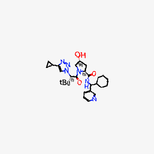 CC(C)(C)[C@@H](C(=O)N1C[C@H](O)C[C@H]1C(=O)NC(c1cccnc1)C1CCCCC1)n1cc(C2CC2)nn1